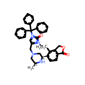 Cc1c([C@@H]2CN(Cc3cn(C(c4ccccc4)(c4ccccc4)c4ccccc4)c(=O)n3C)C[C@H](C)N2)ccc2c1COC2=O